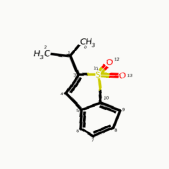 CC(C)C1=Cc2ccccc2S1(=O)=O